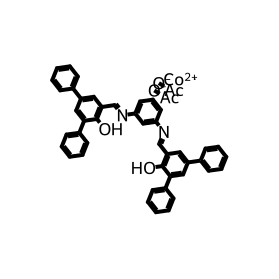 CC(=O)[O-].CC(=O)[O-].Oc1c(C=Nc2cccc(N=Cc3cc(-c4ccccc4)cc(-c4ccccc4)c3O)c2)cc(-c2ccccc2)cc1-c1ccccc1.[Co+2]